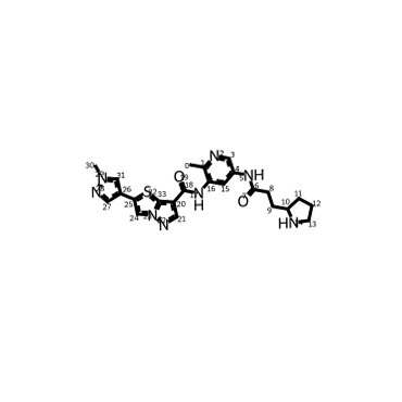 Cc1ncc(NC(=O)CCC2CCCN2)cc1NC(=O)c1cnn2cc(-c3cnn(C)c3)sc12